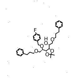 CC1(C)O[C@H]([C@H](O)COCCCc2ccccc2)[C@@H]([C@@H](COCCCc2ccccc2)OCc2ccc(F)cc2)O1